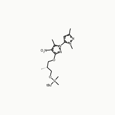 Cc1cc(-n2nc(OC[C@@H](C)CO[Si](C)(C)C(C)(C)C)c([N+](=O)[O-])c2C)n(C)n1